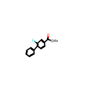 COC(=O)c1ccc(-c2ccccc2)c(F)c1